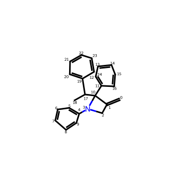 C=C1CN(c2ccccc2)C1(c1ccccc1)C(C)c1ccccc1